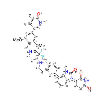 COc1cc(-c2cn(C)c(=O)c(C)c2C)cc(OC)c1CN1CC[C@@H](N2CCc3cc(-c4cccc5c4n(C)c(=O)n5[C@H]4CCC(=O)NC4=O)ccc3C2)C(F)(F)C1